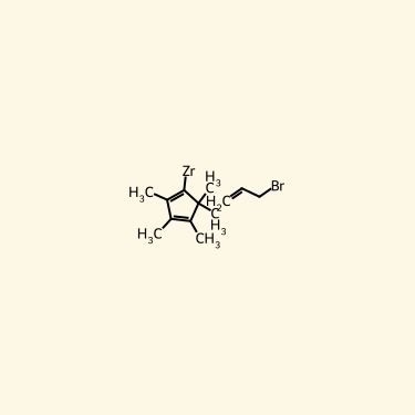 C=CCBr.CC1=C(C)C(C)(C)[C]([Zr])=C1C